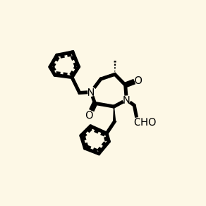 C[C@H]1CN(Cc2ccccc2)C(=O)[C@H](Cc2ccccc2)N(CC=O)C1=O